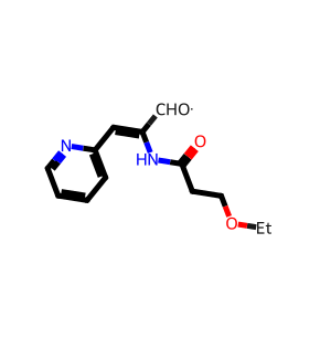 CCOCCC(=O)NC([C]=O)=Cc1ccccn1